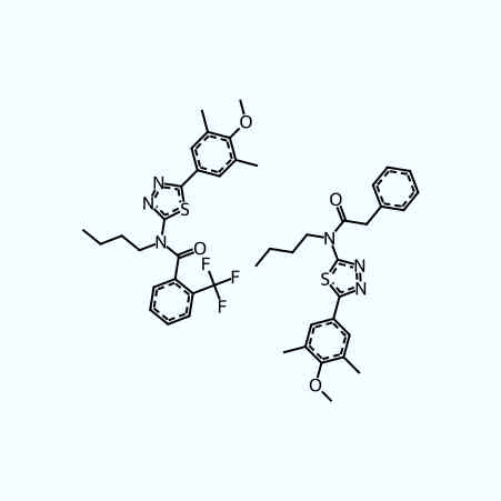 CCCCN(C(=O)Cc1ccccc1)c1nnc(-c2cc(C)c(OC)c(C)c2)s1.CCCCN(C(=O)c1ccccc1C(F)(F)F)c1nnc(-c2cc(C)c(OC)c(C)c2)s1